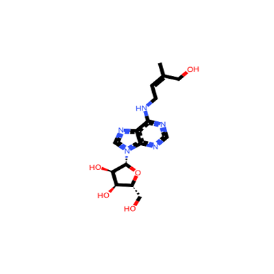 C/C(=C/CNc1ncnc2c1ncn2[C@@H]1O[C@H](CO)[C@@H](O)[C@H]1O)CO